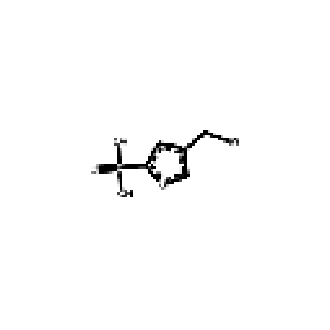 CC(C)Cc1[c]c(P(=O)(O)O)oc1